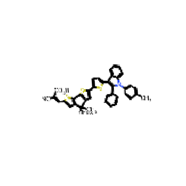 CCCCCCC1(C)c2cc(C=C(C#N)C(=O)O)sc2-c2sc(-c3ccc(-c4c(-c5ccccc5)n(-c5ccc(C)cc5)c5ccccc45)s3)cc21